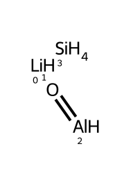 [LiH].[O]=[AlH].[SiH4]